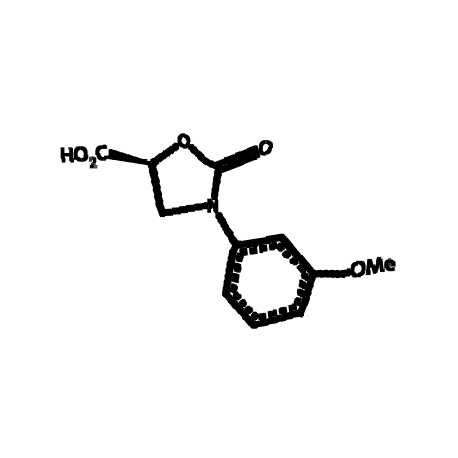 COc1cccc(N2C[C@@H](C(=O)O)OC2=O)c1